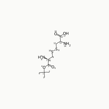 CC(C)(C)OC(=O)[C@@H](N)CSSCC(N)C(=O)O